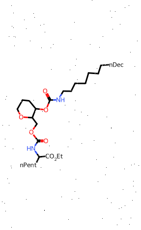 CC[CH]CCC(NC(=O)OCC1OCCCC1OC(=O)NCCCCCCCCCCCCCCCCC)C(=O)OCC